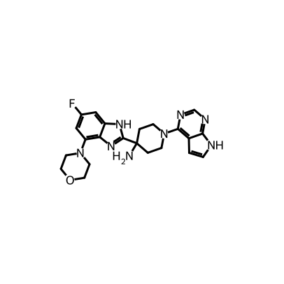 NC1(c2nc3c(N4CCOCC4)cc(F)cc3[nH]2)CCN(c2ncnc3[nH]ccc23)CC1